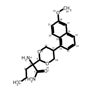 CCCC(N)(C(N)=O)C1OCC(c2cccc3cc(OC)ccc23)CO1